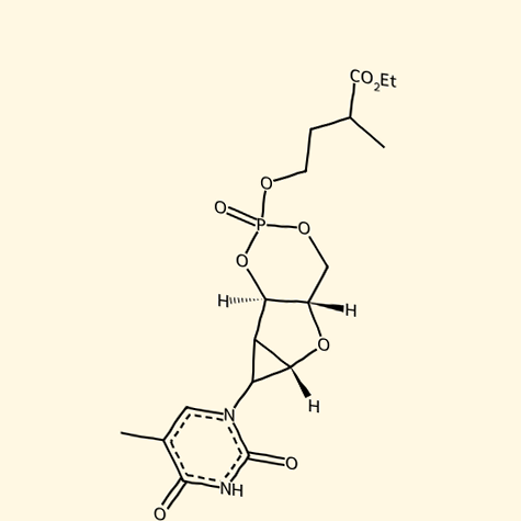 CCOC(=O)C(C)CCOP1(=O)OC[C@@H]2O[C@H]3C(C3n3cc(C)c(=O)[nH]c3=O)[C@H]2O1